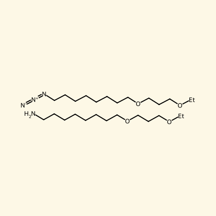 CCOCCCOCCCCCCCCN.CCOCCCOCCCCCCCCN=[N+]=[N-]